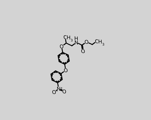 CCOC(=O)NCC(C)Oc1ccc(Oc2cccc([N+](=O)[O-])c2)cc1